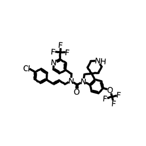 O=C(N(CC=Cc1ccc(Cl)cc1)Cc1ccnc(C(F)(F)F)c1)N1CC2(CCNCC2)c2cc(OC(F)(F)F)ccc21